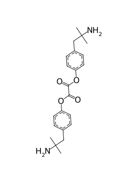 CC(C)(N)Cc1ccc(OC(=O)C(=O)Oc2ccc(CC(C)(C)N)cc2)cc1